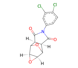 O=C1[C@@H]2C3OC([C@H]4O[C@@H]34)[C@@H]2C(=O)N1c1ccc(Cl)c(Cl)c1